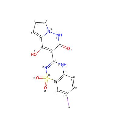 O=c1[nH]n2cccc2c(O)c1C1=NS(=O)(=O)c2cc(I)ccc2N1